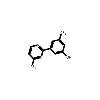 Oc1cc(-c2nccc(C(F)(F)F)n2)cc(C(F)(F)F)c1